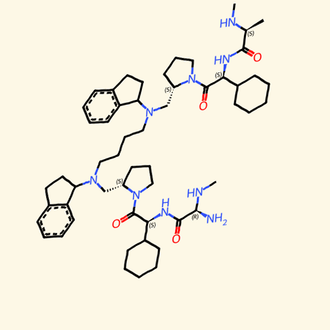 CN[C@@H](C)C(=O)N[C@H](C(=O)N1CCC[C@H]1CN(CCCCN(C[C@@H]1CCCN1C(=O)[C@@H](NC(=O)[C@H](N)NC)C1CCCCC1)C1CCc2ccccc21)C1CCc2ccccc21)C1CCCCC1